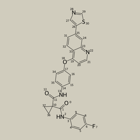 O=C(Nc1ccc(F)cc1)C1(C(=O)Nc2ccc(Oc3ccnc4cc(-c5cncs5)ccc34)cc2)CC1